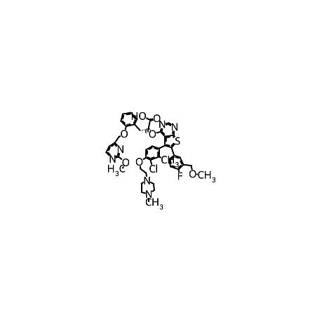 COCc1cc(-c2sc3ncnc(O[C@H](Cc4ccccc4OCc4ccnc(OC)n4)C(=O)O)c3c2-c2ccc(OCCN3CCN(C)CC3)c(Cl)c2C)ccc1F